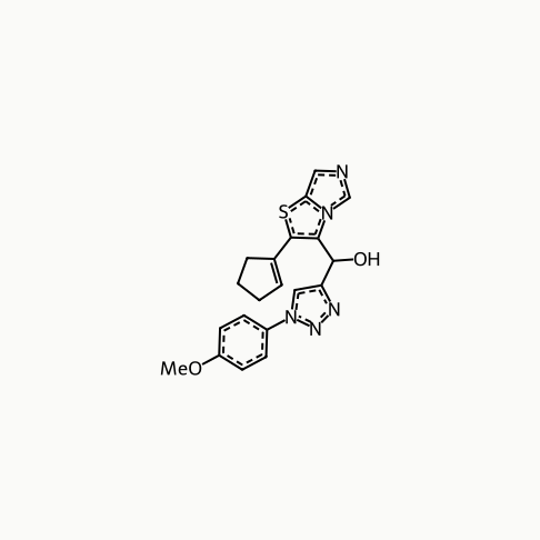 COc1ccc(-n2cc(C(O)c3c(C4=CCCC4)sc4cncn34)nn2)cc1